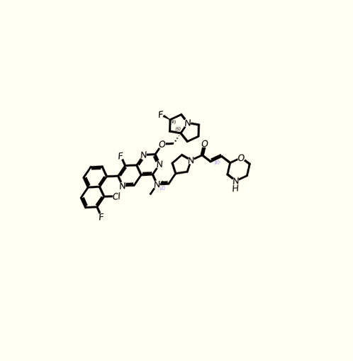 C/[N+](=C/C1CCN(C(=O)/C=C/C2CNCCO2)C1)c1nc(OC[C@@]23CCCN2C[C@H](F)C3)nc2c(F)c(-c3cccc4ccc(F)c(Cl)c34)ncc12